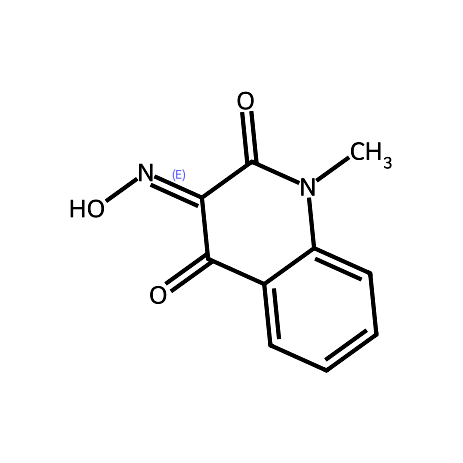 CN1C(=O)/C(=N/O)C(=O)c2ccccc21